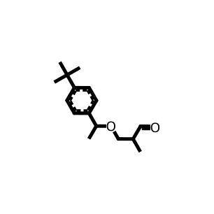 CC(C=O)COC(C)c1ccc(C(C)(C)C)cc1